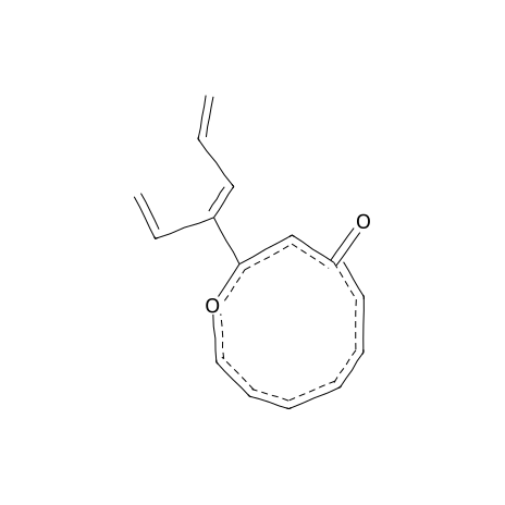 C=C/C=C(\C=C)c1cc(=O)cccccco1